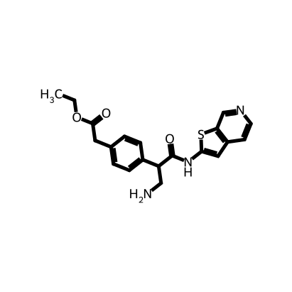 CCOC(=O)Cc1ccc(C(CN)C(=O)Nc2cc3ccncc3s2)cc1